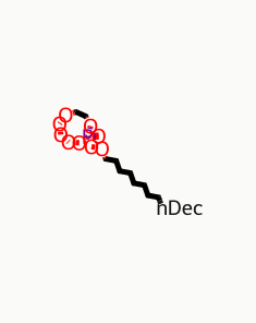 CCCCCCCCCCCCCCCCCCOOP1(=O)OCCOOOOO1